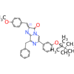 COc1ccc(/C=C2\N=C3C(Cc4ccccc4)=NC(c4cccc(O[Si](C)(C)C(C)(C)C)c4)=CN3C2=O)cc1